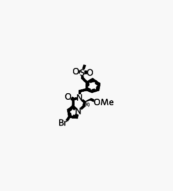 COC[C@H]1Cn2cc(Br)cc2C(=O)N1Cc1ccccc1CS(C)(=O)=O